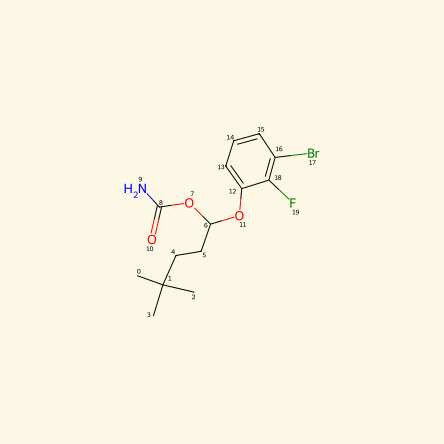 CC(C)(C)CCC(OC(N)=O)Oc1cccc(Br)c1F